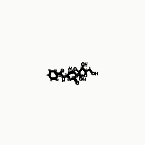 C[C@H]1C(O)[C@@H](CO)O[C@@]1(O)n1ccc(NC(=O)c2ccccc2)nc1=O